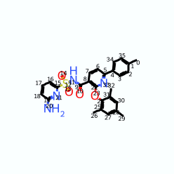 Cc1ccc(-c2ccc(C(=O)NS(=O)(=O)c3cccc(N)n3)c(Oc3c(C)cc(C)cc3C)n2)cc1